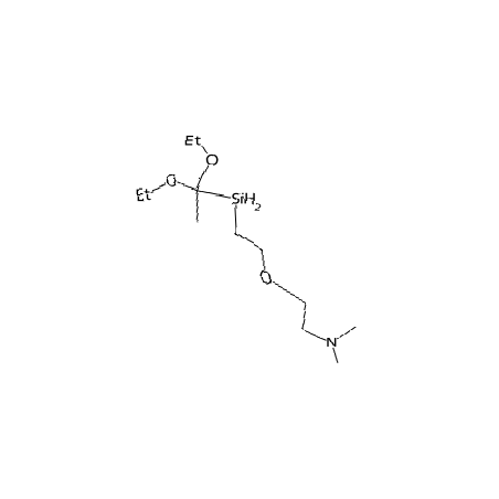 CCOC(C)(OCC)[SiH2]CCOCCN(C)C